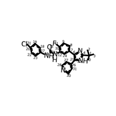 CC(C)(C)c1nc(-c2ccc(F)c(NC(=O)Nc3ccc(Cl)cc3)c2)c(-c2ccncc2)[nH]1